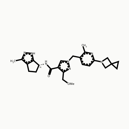 COCc1nn(Cc2ccc(N3CC4(CC4)C3)nc2C)cc1C(=O)N[C@@H]1CCc2c(C)n[nH]c21